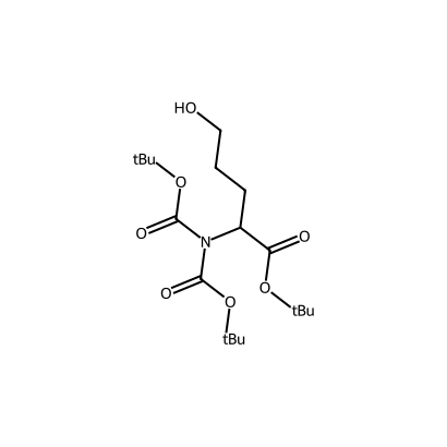 CC(C)(C)OC(=O)C(CCCO)N(C(=O)OC(C)(C)C)C(=O)OC(C)(C)C